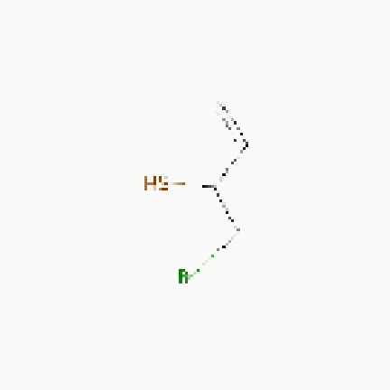 C=CC(S)CBr